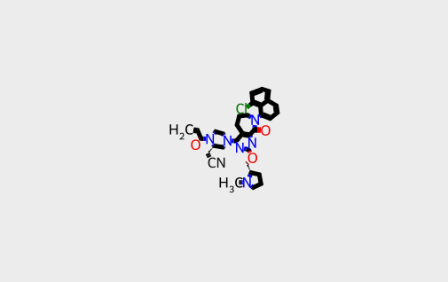 C=CC(=O)N1CCN(c2nc(OC[C@@H]3CCCN3C)nc3c2CCCN(c2cccc4cccc(Cl)c24)C3=O)C[C@@H]1CC#N